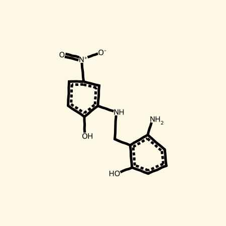 Nc1cccc(O)c1CNc1cc([N+](=O)[O-])ccc1O